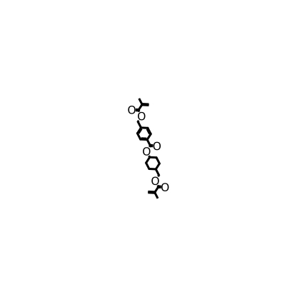 C=C(C)C(=O)OCc1ccc(C(=O)OC2CCC(COC(=O)C(=C)C)CC2)cc1